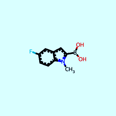 Cn1c(B(O)O)cc2cc(F)ccc21